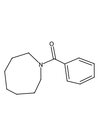 O=C(c1ccccc1)N1CCCCCCC1